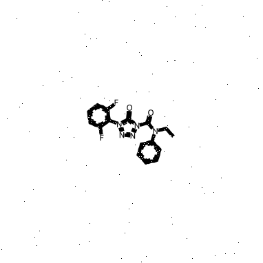 CCN(C(=O)n1nnn(-c2c(F)cccc2F)c1=O)c1ccccc1